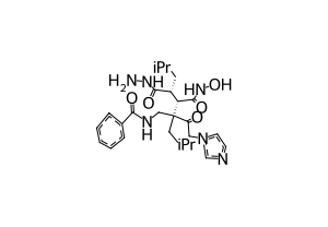 CC(C)C[C@@H](C(=O)NN)[C@H](C(=O)NO)C(CNC(=O)c1ccccc1)(CC(C)C)C(=O)Cn1ccnc1